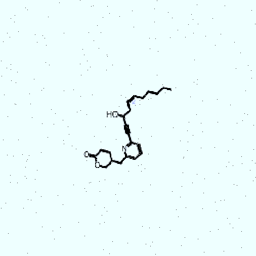 CCCCC/C=C\CC(O)C#Cc1cccc(CC2CCC(=O)OC2)n1